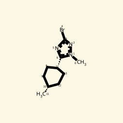 Cn1nc(Br)nc1[C@H]1CC[C@@H](C)CC1